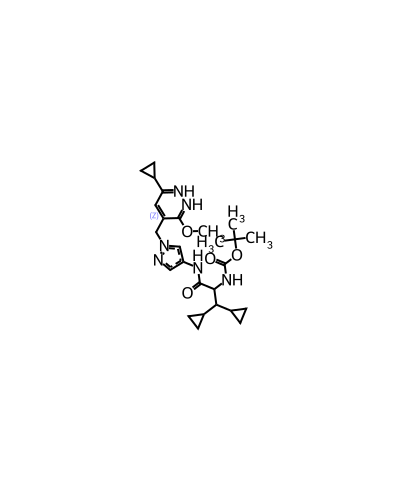 COC(=N)/C(=C\C(=N)C1CC1)Cn1cc(NC(=O)C(NC(=O)OC(C)(C)C)C(C2CC2)C2CC2)cn1